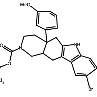 COc1cccc(C23CCN(C(=O)OCC(Cl)(Cl)Cl)CC2Cc2c([nH]c4ccc(Br)cc24)C3)c1